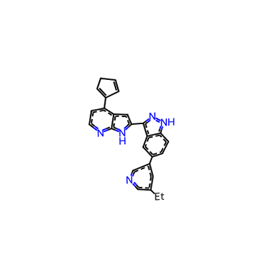 CCc1cncc(-c2ccc3[nH]nc(-c4cc5c(C6=CCC=C6)ccnc5[nH]4)c3c2)c1